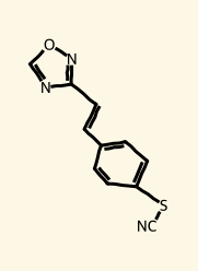 N#CSc1ccc(C=Cc2ncon2)cc1